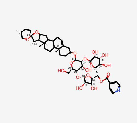 C[C@@H]1CC[C@@]2(OC1)OC1CC3C4CC=C5C[C@@H](O[C@@H]6O[C@H](CO)[C@@H](O[C@@H]7O[C@@H](COC(=O)c8ccncc8)[C@H](O)[C@H]7O)[C@H](O)[C@H]6O[C@@H]6O[C@@H](C)[C@H](O)[C@@H](O)[C@H]6O)CC[C@]5(C)C4CC[C@]3(C)C1[C@@H]2C